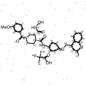 COc1cccc(C(=O)N2CC[C@H](C(=O)Nc3ccc(OCc4cc(C)nc5ccccc45)cc3)[C@@H](C(=O)NO)C2)c1.O=C(O)C(F)(F)F